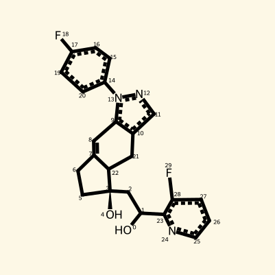 OC(C[C@]1(O)CCC2=Cc3c(cnn3-c3ccc(F)cc3)CC21)c1ncccc1F